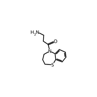 NCCC(=O)N1CCCSc2ccccc21